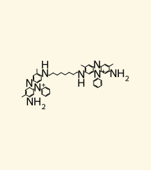 Cc1cc2nc3cc(C)c(NCCCCCCCCNc4cc5c(cc4C)nc4cc(C)c(N)cc4[n+]5-c4ccccc4)cc3[n+](-c3ccccc3)c2cc1N